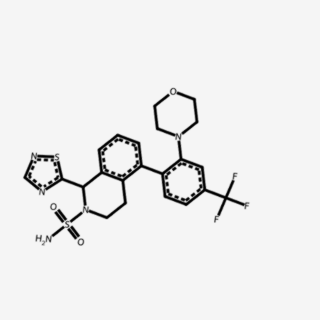 NS(=O)(=O)N1CCc2c(-c3ccc(C(F)(F)F)cc3N3CCOCC3)cccc2C1c1ncns1